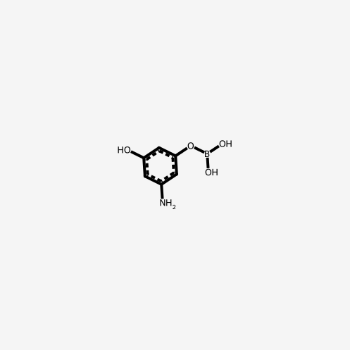 Nc1cc(O)cc(OB(O)O)c1